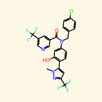 Cn1nc(C(F)(F)F)cc1-c1ccc(N(Cc2ccc(Cl)cc2)C(=O)c2cncc(C(F)(F)F)c2)cc1O